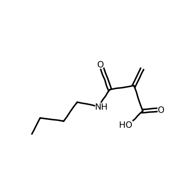 C=C(C(=O)O)C(=O)NCCCC